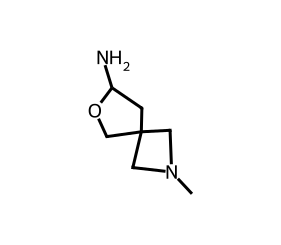 CN1CC2(COC(N)C2)C1